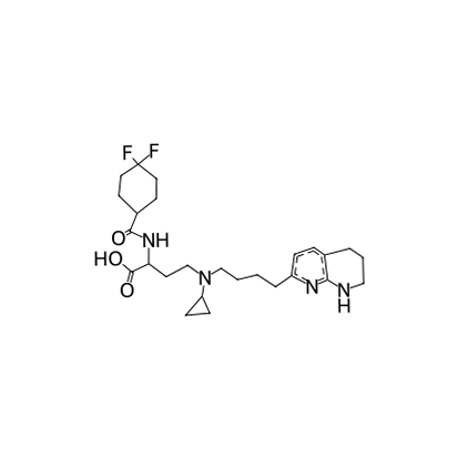 O=C(NC(CCN(CCCCc1ccc2c(n1)NCCC2)C1CC1)C(=O)O)C1CCC(F)(F)CC1